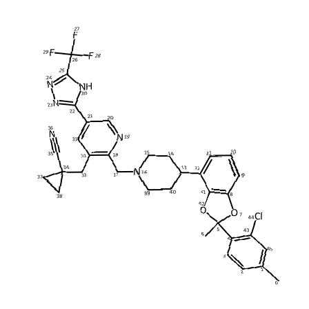 Cc1ccc(C2(C)Oc3cccc(C4CCN(Cc5ncc(-c6nnc(C(F)(F)F)[nH]6)cc5CC5(C#N)CC5)CC4)c3O2)c(Cl)c1